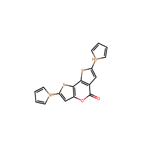 O=c1oc2cc([SH]3C=CC=C3)sc2c2sc([SH]3C=CC=C3)cc12